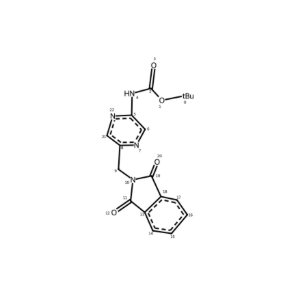 CC(C)(C)OC(=O)Nc1cnc(CN2C(=O)c3ccccc3C2=O)cn1